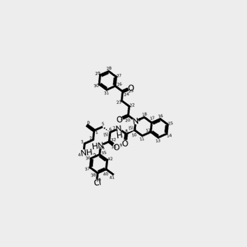 C=C(CCN)C[C@H](NC(=O)[C@@H]1Cc2ccccc2CN1C(=O)CCC(=O)c1ccccc1)C(=O)Nc1ccc(Cl)c(C)c1